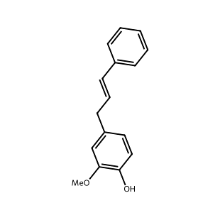 COc1cc(CC=Cc2ccccc2)ccc1O